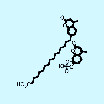 Cc1cc(=O)oc2cc(CCCCCCCCCCCCCCCC(=O)O)ccc12.Cc1cc(=O)oc2cc(OP(=O)(O)O)ccc12